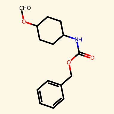 O=COC1CCC(NC(=O)OCc2ccccc2)CC1